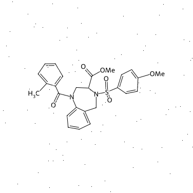 COC(=O)C1CN(C(=O)c2ccccc2C)c2ccccc2CN1S(=O)(=O)c1ccc(OC)cc1